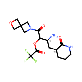 N[C@@H](C[C@@H]1CCCNC1=O)C(OC(=O)C(F)(F)F)C(=O)N1CC2(COC2)C1